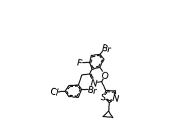 Fc1cc(Br)cc2c1C(Cc1cc(Cl)ccc1Br)=NC(c1cnc(C3CC3)s1)O2